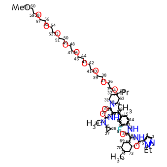 CCn1nccc1C(=O)N[C@H](C(=O)Nc1ccc([C@H](C)[C@@H](NC(=O)N(C)C2CC2)C(=O)N2CCC(OCCOCCOCCOCCOCCOCCOCCOCCOCCOC)(C(C)C)CC2)cc1F)C1CCC(C)CC1